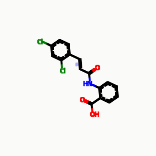 O=C(/C=C/c1ccc(Cl)cc1Cl)Nc1ccccc1C(=O)O